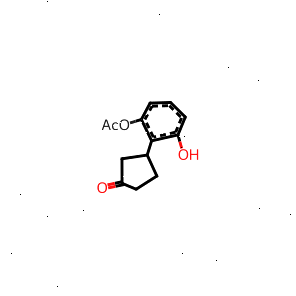 CC(=O)Oc1cccc(O)c1C1CCC(=O)C1